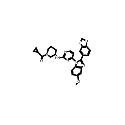 COc1ccc2c(c1)nc(-c1ccc3c(c1)OCO3)n2-c1ccnc(N[C@H]2CCCN(C(=O)C3CC3)C2)n1